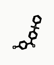 C[Si](C)(c1ccccc1)c1ccc(C(=O)c2ccc(Cl)cc2)cc1